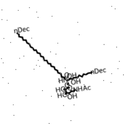 CCCCCCCCCCCCCCCCCCCCCCCCCCCCCCCCCCCCCC(=O)N[C@@H](COC1OC(CNC(C)=O)C(O)C(O)C1O)[C@H](O)[C@H](O)CCCCCCCCCCCCCCCCCC